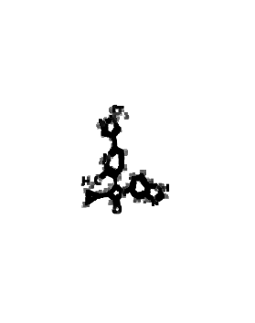 Cc1nc(-c2cnn(C(F)(F)F)c2)ccc1[C@@H]1C(C2CC2)C(=O)N1c1ccc2[nH]cnc2c1